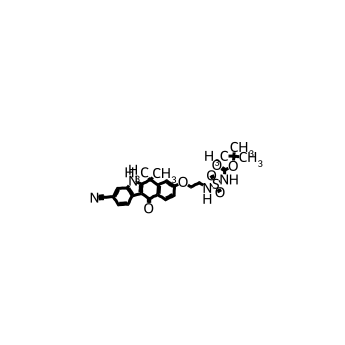 CC(C)(C)OC(=O)NS(=O)(=O)NCCOc1ccc2c(c1)C(C)(C)c1[nH]c3cc(C#N)ccc3c1C2=O